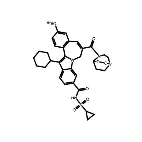 COc1ccc2c(c1)C=C(C(=O)N1CCN3CCC1CC3)Cn1c-2c(C2CCCCC2)c2ccc(C(=O)NS(=O)(=O)C3CC3)cc21